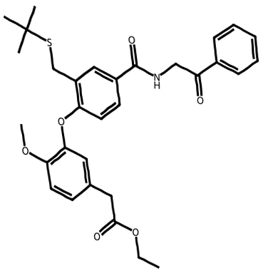 CCOC(=O)Cc1ccc(OC)c(Oc2ccc(C(=O)NCC(=O)c3ccccc3)cc2CSC(C)(C)C)c1